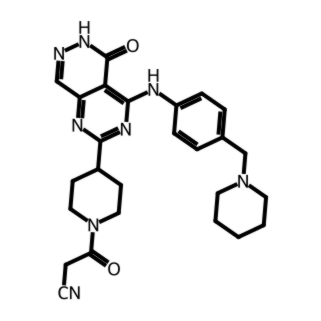 N#CCC(=O)N1CCC(c2nc(Nc3ccc(CN4CCCCC4)cc3)c3c(=O)[nH]ncc3n2)CC1